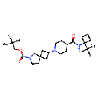 [2H]C([2H])([2H])COC(=O)N1CC[C@]2(C1)C[C@H](N1CCC(C(=O)NC3(C([2H])([2H])[2H])CCC3)CC1)C2